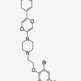 Fc1cc(F)c(OCCN2CCN(C3=COC(C4=CC=CCC4)=CO3)CC2)c(Br)c1